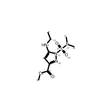 CCNc1cc(C(=O)OC)nn1S(=O)(=O)N(C)C